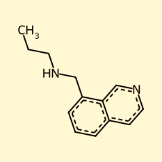 CCCNCc1cccc2ccncc12